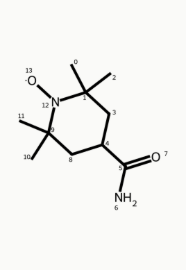 CC1(C)CC(C(N)=O)CC(C)(C)N1[O]